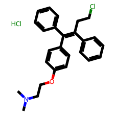 CN(C)CCOc1ccc(/C(=C(/CCCl)c2ccccc2)c2ccccc2)cc1.Cl